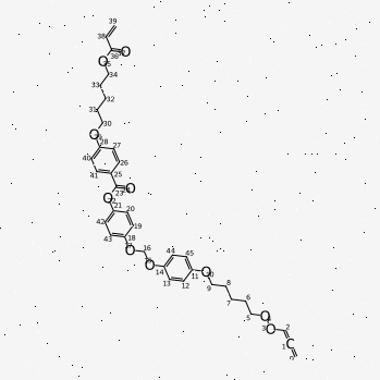 C=C=COOCCCCCOc1ccc(OCOc2ccc(OC(=O)c3ccc(OCCCCCOC(=O)C=C)cc3)cc2)cc1